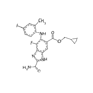 Cc1cc(I)ccc1Nc1c(C(=O)OCC2CC2)cc2[nH]c(C(N)=O)nc2c1F